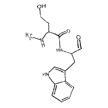 CNC(CCO)C(=O)NC([C]=O)Cc1c[nH]c2ccccc12